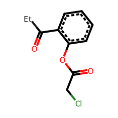 CCC(=O)c1ccccc1OC(=O)CCl